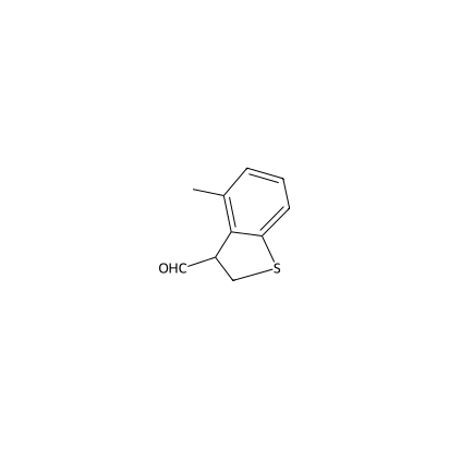 Cc1cccc2c1C(C=O)CS2